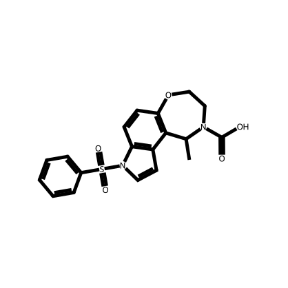 CC1c2c(ccc3c2ccn3S(=O)(=O)c2ccccc2)OCCN1C(=O)O